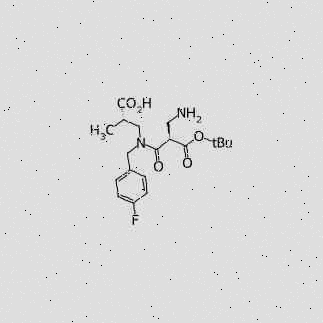 C[C@@H](CN(Cc1ccc(F)cc1)C(=O)[C@@H](CN)C(=O)OC(C)(C)C)C(=O)O